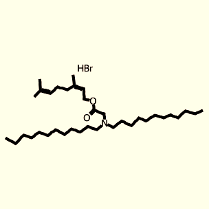 Br.CCCCCCCCCCCCN(CCCCCCCCCCCC)CC(=O)OCC=C(C)CCC=C(C)C